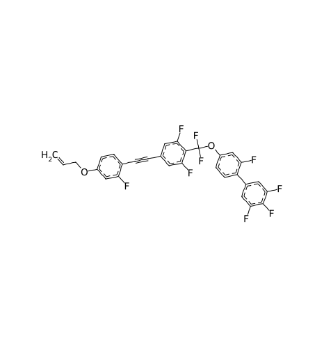 C=CCOc1ccc(C#Cc2cc(F)c(C(F)(F)Oc3ccc(-c4cc(F)c(F)c(F)c4)c(F)c3)c(F)c2)c(F)c1